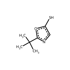 CC(C)(C)c1ncc(S)o1